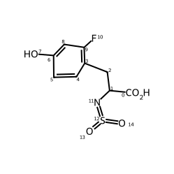 O=C(O)C(Cc1ccc(O)cc1F)N=S(=O)=O